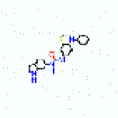 O=C(Nc1ccc2c(c1)SCCN2c1ccccc1)Nc1ccc2cc[nH]c2c1